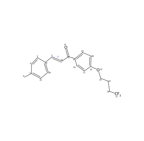 Cc1ccc(/C=C/C(=O)c2ccc(OCCCC(F)(F)F)cc2)cc1